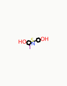 Oc1ccc(-c2nc3c(I)cc(O)cc3s2)cc1